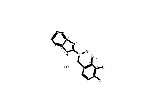 Cc1ccc(C[S+]([O-])c2nc3ccccc3[nH]2)c(N)c1C.O